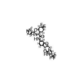 Cn1nccc1C(=O)N[C@H](C(=O)Nc1ccc2c(c1)OC(CN1C[C@@H](C(F)(F)F)NC1=O)C2)C1CCC(F)(F)CC1